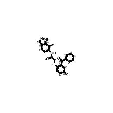 Cc1c(NC(=O)COc2ccc(Cl)cc2C(=O)c2ccccc2)ccc2cn[nH]c12